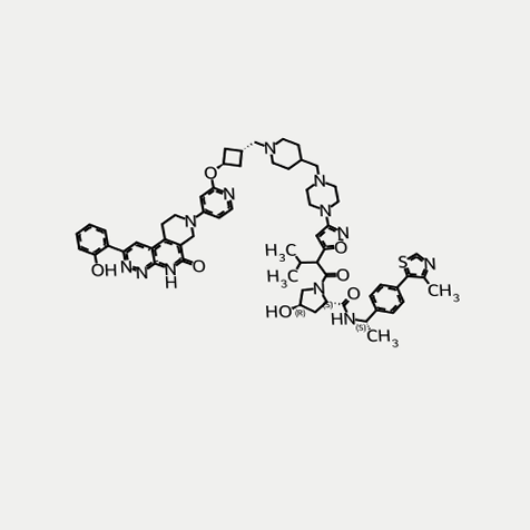 Cc1ncsc1-c1ccc([C@H](C)NC(=O)[C@@H]2C[C@@H](O)CN2C(=O)C(c2cc(N3CCN(CC4CCN(C[C@H]5C[C@H](Oc6cc(N7CCc8c(c(=O)[nH]c9nnc(-c%10ccccc%10O)cc89)C7)ccn6)C5)CC4)CC3)no2)C(C)C)cc1